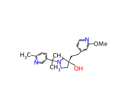 COc1cc(CC[C@@]2(CO)CCN(C(C)(C)c3ccc(C)nc3)C2)ccn1